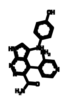 NC(=O)c1nnc2[nH]cc(Nc3ccc(O)cc3)c2c1-c1ccncc1N